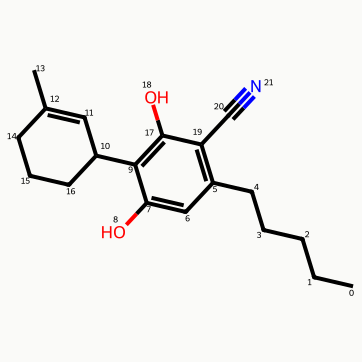 CCCCCc1cc(O)c(C2C=C(C)CCC2)c(O)c1C#N